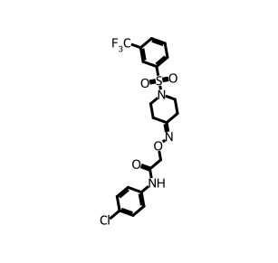 O=C(CON=C1CCN(S(=O)(=O)c2cccc(C(F)(F)F)c2)CC1)Nc1ccc(Cl)cc1